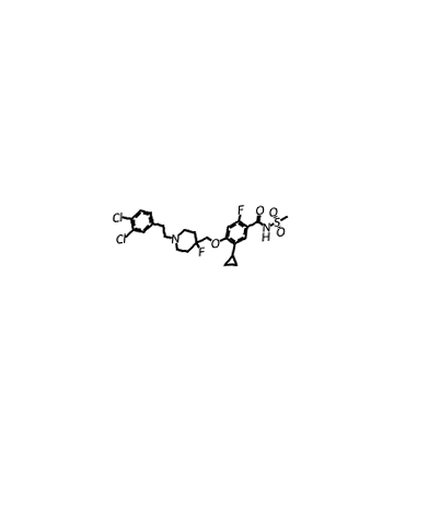 CS(=O)(=O)NC(=O)c1cc(C2CC2)c(OCC2(F)CCN(CCc3ccc(Cl)c(Cl)c3)CC2)cc1F